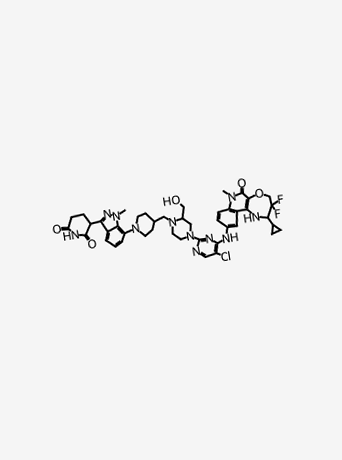 Cn1nc(C2CCC(=O)NC2=O)c2cccc(N3CCC(CN4CCN(c5ncc(Cl)c(Nc6ccc7c(c6)c6c(c(=O)n7C)OCC(F)(F)C(C7CC7)N6)n5)CC4CO)CC3)c21